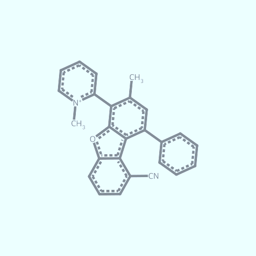 Cc1cc(-c2ccccc2)c2c(oc3cccc(C#N)c32)c1-c1cccc[n+]1C